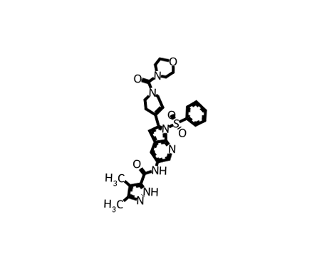 Cc1n[nH]c(C(=O)Nc2cnc3c(c2)cc(C2=CCN(C(=O)N4CCOCC4)CC2)n3S(=O)(=O)c2ccccc2)c1C